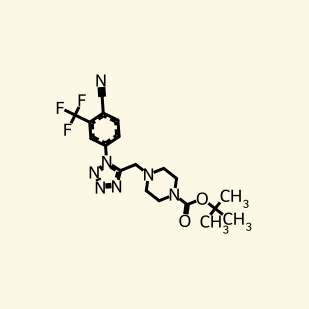 CC(C)(C)OC(=O)N1CCN(Cc2nnnn2-c2ccc(C#N)c(C(F)(F)F)c2)CC1